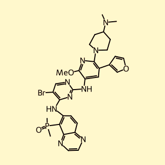 COc1nc(N2CCC(N(C)C)CC2)c(-c2ccoc2)cc1Nc1ncc(Br)c(Nc2ccc3nccnc3c2P(C)(C)=O)n1